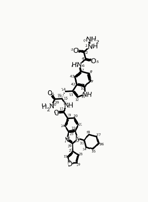 NNC(=O)C(=O)Nc1ccc2[nH]cc(C[C@H](NC(=O)c3ccc4c(c3)nc(-c3ccoc3)n4C3CCCCC3)C(N)=O)c2c1